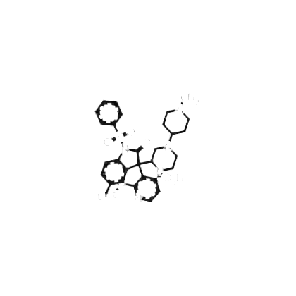 CCOc1ncccc1C1(C2CN(C3CCN(C)CC3)CCN2C(=O)O)C(=O)N(S(=O)(=O)c2ccccc2)c2ccc(Cl)cc21